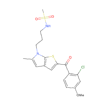 COc1ccc(C(=O)c2cc3cc(C)n(CCCNS(C)(=O)=O)c3s2)c(Cl)c1